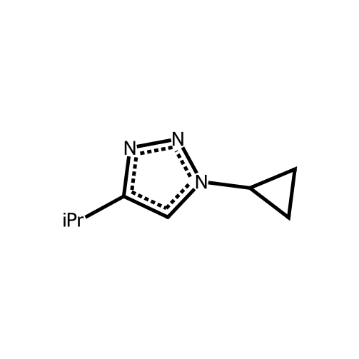 CC(C)c1cn(C2CC2)nn1